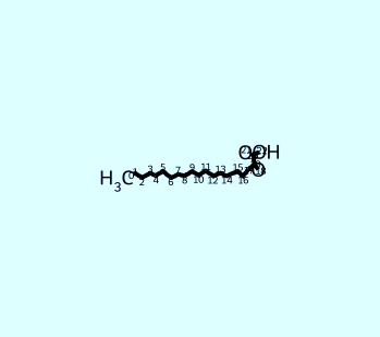 CCCCCCCCCCCCCCCCCC1OC1C(=O)O